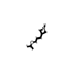 CC(C)OC/C=C/C1CN(C)C1